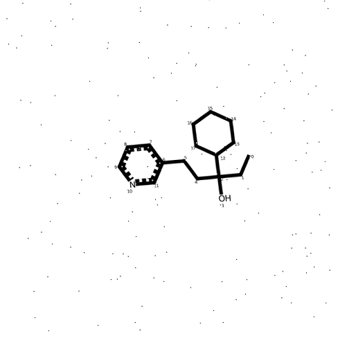 CCC(O)(CCc1cccnc1)C1CCCCC1